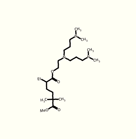 CCC(CCC(C)(C)C(=O)OC)C(=O)OCCN(CCCN(C)C)CCCN(C)C